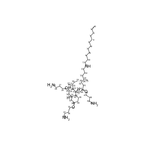 CCCCCCCCCCCCNCCC[C@@H](C)[C@H]1CC[C@H](C)[C@@H]2[C@H](OCCCN)C[C@@H]3C[C@H](OCCCN)CC[C@]3(C)[C@H]2C[C@H](OCCCN)C1